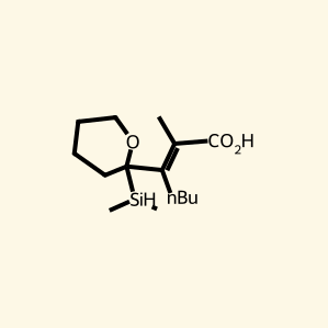 CCCCC(=C(C)C(=O)O)C1([SiH](C)C)CCCCO1